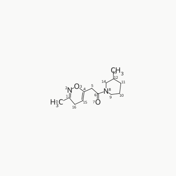 CC1=NOC(CC(=O)N2CCCC(C)C2)=CC1